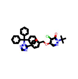 CC(C)(C)n1ncc(OCc2ccc(-c3ncnn3C(c3ccccc3)(c3ccccc3)c3ccccc3)cc2)c(Cl)c1=O